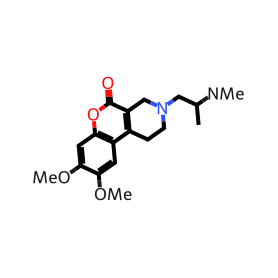 CNC(C)CN1CCc2c(c(=O)oc3cc(OC)c(OC)cc23)C1